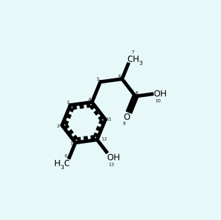 Cc1ccc(CC(C)C(=O)O)cc1O